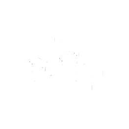 Br.Cc1nc2ccccn2c1-c1csc(Nc2ccc(Cl)c(Cl)c2)n1